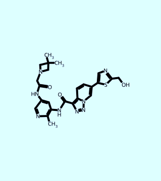 Cc1ncc(NC(=O)CN2CC(C)(C)C2)cc1NC(=O)c1nnn2cc(-c3cnc(CO)s3)ccc12